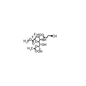 C#CCCC(=O)N[C@H]1C([C@H](O)[C@@H](CO)OC(C)=O)O[C@@](F)(C(=O)OC)[C@@H](F)C1O